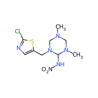 CN1CN(C)C(N[N+](=O)[O-])N(Cc2cnc(Cl)s2)C1